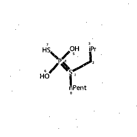 CCCCCS(CC(C)C)=P(O)(O)S